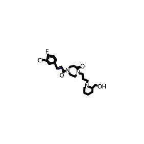 O=C(/C=C/c1ccc(F)c(Cl)c1)N1CCC(=O)N(CCCN2CCCCC2CO)CC1